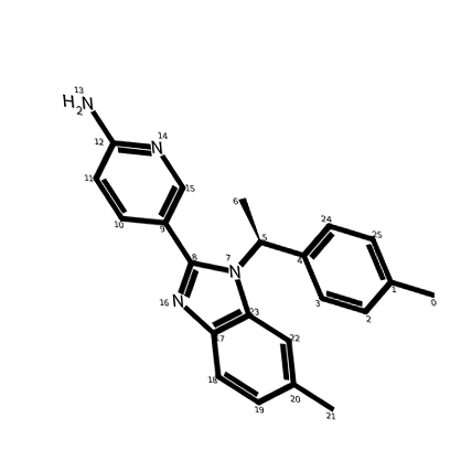 Cc1ccc([C@H](C)n2c(-c3ccc(N)nc3)nc3ccc(C)cc32)cc1